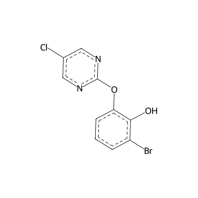 Oc1c(Br)cccc1Oc1ncc(Cl)cn1